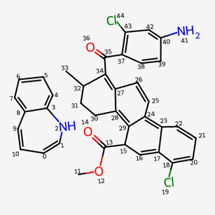 C1=CNc2ccccc2C=C1.COC(=O)C1C=c2c(Cl)cccc2=c2ccc3c(c21)CCC(C)C=3C(=O)c1ccc(N)cc1Cl